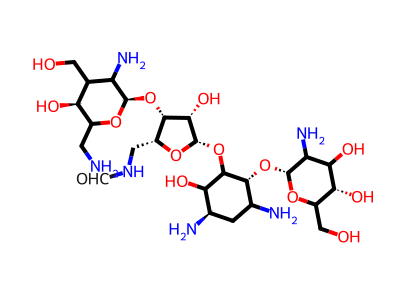 NCC1O[C@H](O[C@@H]2[C@H](O)[C@H](OC3C(O)[C@H](N)CC(N)[C@H]3O[C@H]3OC(CO)[C@@H](O)C(O)C3N)O[C@@H]2CNC=O)C(N)C(CO)[C@@H]1O